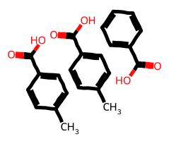 Cc1ccc(C(=O)O)cc1.Cc1ccc(C(=O)O)cc1.O=C(O)c1ccccc1